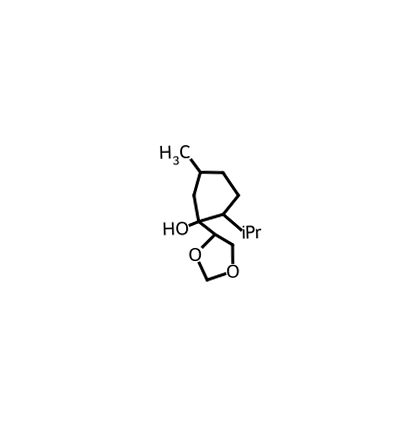 CC1CCC(C(C)C)C(O)(C2COCO2)C1